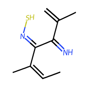 C=C(C)C(=N)C(=N\S)/C(C)=C\C